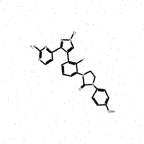 CCn1cc(-c2cccc(N3CCN(c4ccc(OC)cc4)C3=O)c2F)c(-c2ccnc(N)n2)n1